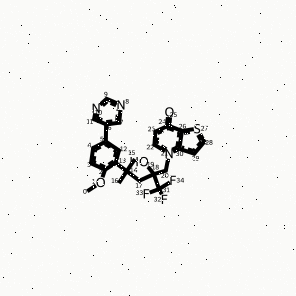 COc1ccc(-c2cncnc2)cc1C(C)(C)CC(O)(Cn1ccc(=O)c2sccc21)C(F)(F)F